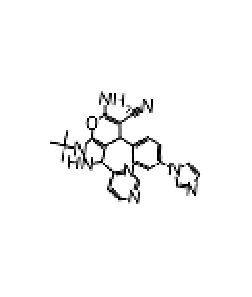 CC(C)(C)N1NC(c2ccncn2)C2=C1OC(N)=C(C#N)C2c1ccc(-n2ccnc2)cc1